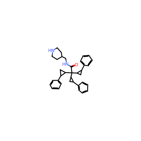 O=C(NCC1CCNCC1)C(C1CC1c1ccccc1)(C1CC1c1ccccc1)C1CC1c1ccccc1